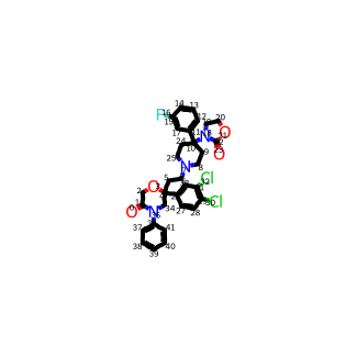 O=C1COC(CCN2CCC(c3cccc(F)c3)(N3CCOC3=O)CC2)(c2ccc(Cl)c(Cl)c2)CN1c1ccccc1